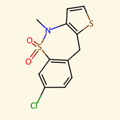 CN1c2ccsc2Cc2ccc(Cl)cc2S1(=O)=O